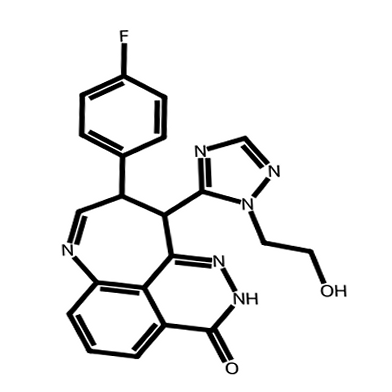 O=c1[nH]nc2c3c(cccc13)N=CC(c1ccc(F)cc1)C2c1ncnn1CCO